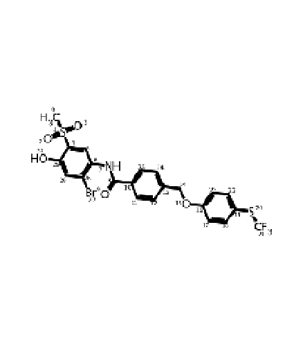 CS(=O)(=O)c1cc(NC(=O)c2ccc(COc3ccc(SC(F)(F)F)cc3)cc2)c(Br)cc1O